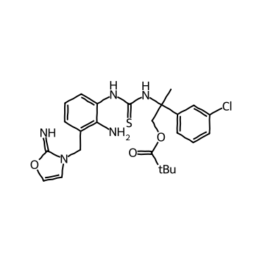 CC(C)(C)C(=O)OCC(C)(NC(=S)Nc1cccc(Cn2ccoc2=N)c1N)c1cccc(Cl)c1